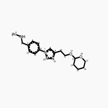 CC(C)NCc1ccc(-n2cc(CCOC3CCCCO3)nn2)cc1